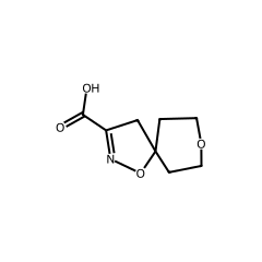 O=C(O)C1=NOC2(CCOCC2)C1